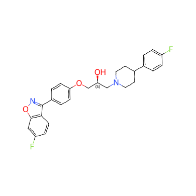 O[C@H](COc1ccc(-c2noc3cc(F)ccc23)cc1)CN1CCC(c2ccc(F)cc2)CC1